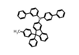 Cc1ccc(C2(c3ccccc3)c3ccccc3-c3cc(N(c4ccc(-c5ccccc5)cc4)c4cccc(-c5ccccc5)c4)ccc32)cc1